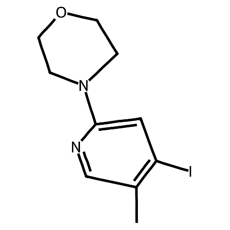 Cc1cnc(N2CCOCC2)cc1I